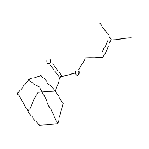 CC(C)=CCOC(=O)C12CC3CC(CC(C3)C1)C2